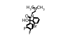 CN(C)CCN1C(=O)C(O)(c2ccc(F)c(F)c2)c2c(Br)cccc21